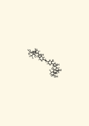 COC(=O)N[C@H](C(=O)N1[C@@H]2CC2C[C@H]1c1nc2ccc(C#Cc3ccc(-c4c[nH]c([C@@H]5C[C@H]6C[C@H]6N5C(=O)[C@@H](NC(=O)O)C(C)C)n4)c(F)c3)cc2[nH]1)C(C)C